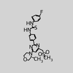 C[C@H]1COCCN1c1cc(CS(C)(=O)=O)nc(-c2ccc(NC(=S)Nc3ccc(F)cc3)cc2)n1